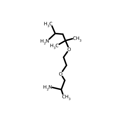 CC(N)COCCOC(C)(C)CC(C)N